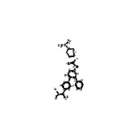 CC(=O)N(C)[C@H]1CC[C@H](CC(=O)Nc2cnc(-c3ccc(C(N)C(F)F)cc3)c(-c3ccccc3)c2)CC1